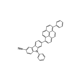 N#Cc1ccc2c(c1)c1ccc(-c3ccc4ccc5c(-c6ccccc6)ccc6ccc3c4c65)cc1n2-c1ccccc1